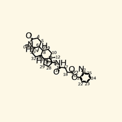 CN1C(=O)CC[C@]2(C)[C@H]3CC[C@]4(C)C(NC(=O)CCCOc5ccccc5[N+](=O)[O-])CC[C@H]4[C@@H]3CC[C@@H]12